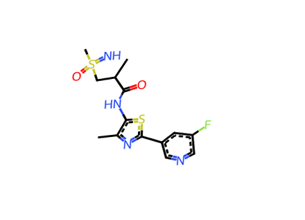 Cc1nc(-c2cncc(F)c2)sc1NC(=O)C(C)CS(C)(=N)=O